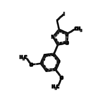 COc1cc(OC)cc(-c2nc(CI)c(C)o2)c1